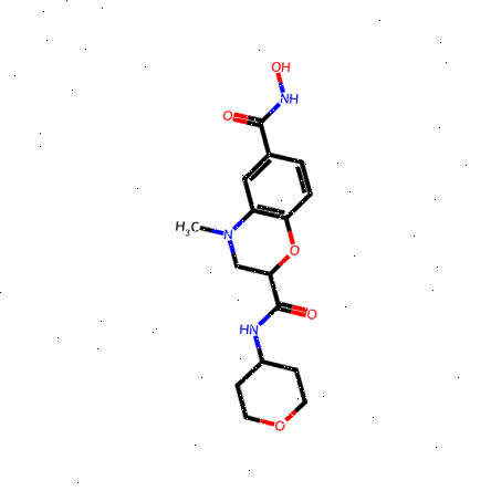 CN1CC(C(=O)NC2CCOCC2)Oc2ccc(C(=O)NO)cc21